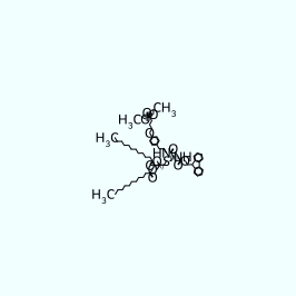 CCCCCCCCCCCC(=O)OC[C@H](CSC[C@H](NC(=O)OCC1c2ccccc2-c2ccccc21)C(=O)NCCc1ccc(OCCCP(=O)(OCC)OCC)cc1)OC(=O)CCCCCCCCCCC